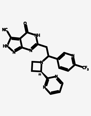 N#Cc1[nH]nc2nc(CC(c3ccc(C(F)(F)F)nc3)N3CC[C@@H]3c3ncccn3)[nH]c(=O)c12